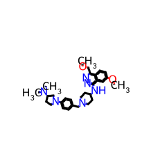 COCc1nnc(NC2CCN(Cc3ccc(N4CC[C@H](N(C)C)C4)cc3)CC2)c2cc(OC)ccc12